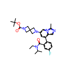 CCN(C(=O)c1cc(F)ccc1-c1cc(N2CC3(CN(C(=O)OC(C)(C)C)C3)C2)cn2c(C)ncc12)C(C)C